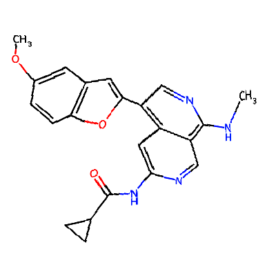 CNc1ncc(-c2cc3cc(OC)ccc3o2)c2cc(NC(=O)C3CC3)ncc12